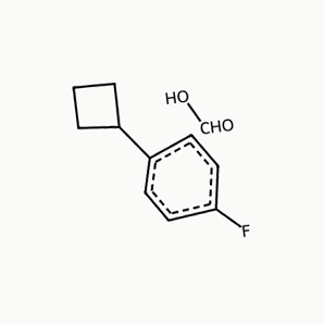 Fc1ccc(C2CCC2)cc1.O=CO